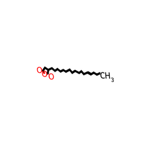 CCCCC=CCCCCCCCCCCCCC1CC(=O)OC1=O